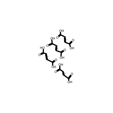 O=C(O)/C=C/C(=O)O.O=C(O)/C=C/C(=O)O.O=C(O)/C=C/C(=O)O.O=C(O)/C=C/C(=O)O